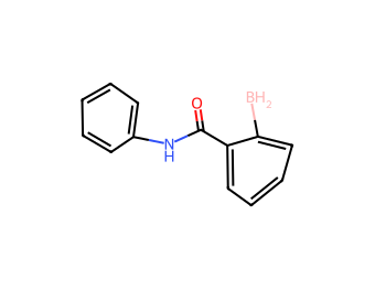 Bc1ccccc1C(=O)Nc1ccccc1